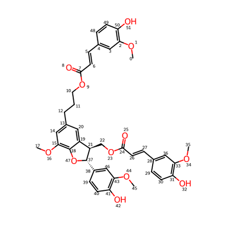 COc1cc(/C=C/C(=O)OCCCc2cc(OC)c3c(c2)[C@@H](COC(=O)/C=C/c2ccc(O)c(OC)c2)[C@H](c2ccc(O)c(OC)c2)O3)ccc1O